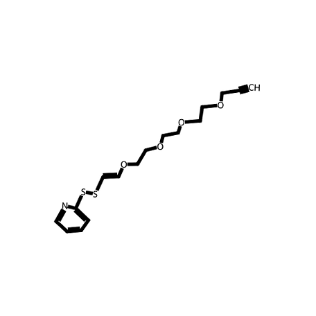 C#CCOCCOCCOCCOC=CSSc1ccccn1